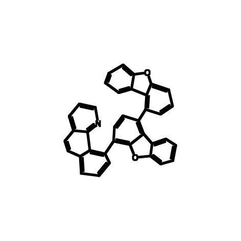 c1cnc2c(c1)ccc1cccc(-c3ccc(-c4cccc5oc6ccccc6c45)c4c3oc3ccccc34)c12